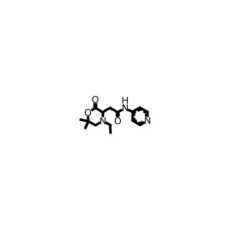 CCN1CC(C)(C)OC(=O)C1CC(=O)Nc1ccncc1